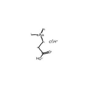 C[As](C)CCC(=O)O.[Cl-].[H+]